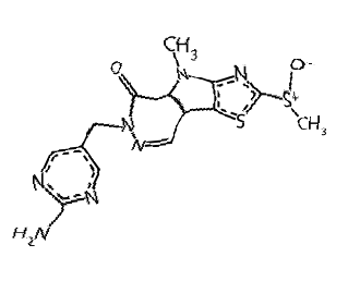 CN1c2nc([S+](C)[O-])sc2C2C=NN(Cc3cnc(N)nc3)C(=O)C21